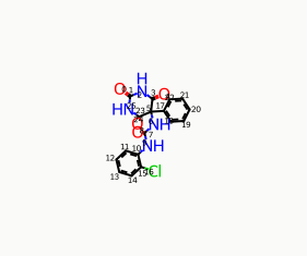 O=C1NC(=O)C(NC(=O)Nc2ccccc2Cl)(c2ccccc2)C(=O)N1